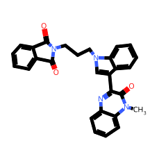 Cn1c(=O)c(-c2cn(CCCN3C(=O)c4ccccc4C3=O)c3ccccc23)nc2ccccc21